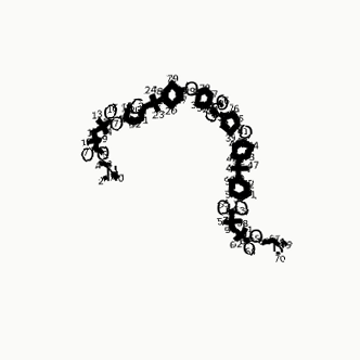 CN(C)CCOC(=O)C(C)(C)CC(C)(C)C(=O)Oc1ccc(C(C)(C)c2ccc(Oc3ccc(S(=O)(=O)c4ccc(Oc5ccc(C(C)(C)c6ccc(OC(=O)C(C)(C)CC(C)(C)C(=O)OCCN(C)C)cc6)cc5)cc4)cc3)cc2)cc1